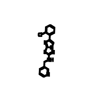 Clc1ccccc1-c1cn2nc(NCc3cccnc3)sc2n1